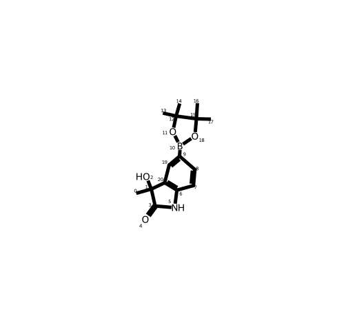 CC1(O)C(=O)Nc2ccc(B3OC(C)(C)C(C)(C)O3)cc21